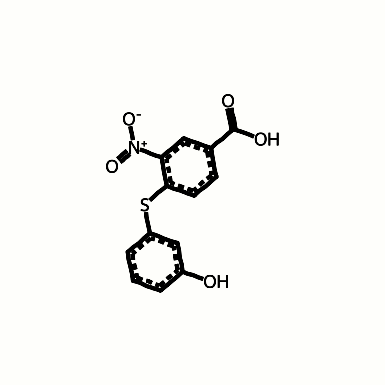 O=C(O)c1ccc(Sc2cccc(O)c2)c([N+](=O)[O-])c1